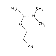 CC(OCCC#N)N(C)C